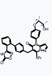 CCCc1c(Cc2ccc(-c3ccccc3-c3noc(=O)[nH]3)cc2)c(=O)n(-c2ccc(O[C@H](C)[C@H](C)O)cc2)c2ccnn12